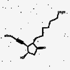 CCCCCCC#C[C@@H]1[C@H](O)CC(=O)[C@@H]1CCCCCCC(=O)OCC